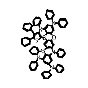 c1ccc(-c2sc3c(c2-c2ccccc2)N(c2ccccc2)c2cc(N(c4ccccc4)c4ccccc4)cc4c2B3c2cc3c(cc2O4)N(c2ccccc2)c2cc(N(c4ccccc4)c4ccccc4)cc4c2B3c2ccccc2N4c2ccccc2)cc1